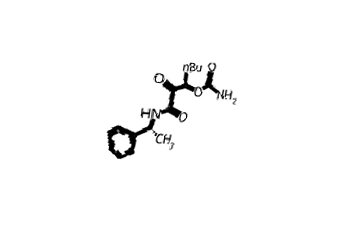 CCCCC(OC(N)=O)C(=O)C(=O)N[C@H](C)c1ccccc1